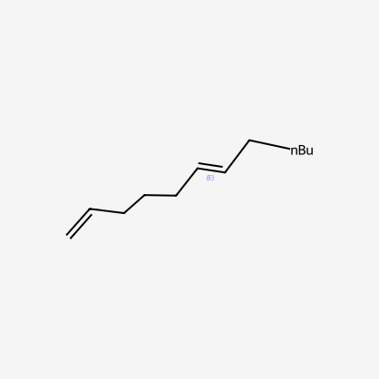 [CH2]CCCC/C=C/CCCC=C